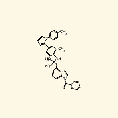 CCCC1(Cc2cccc3c2ccn3C(=O)c2ccccc2)Nc2cc(-c3nccn3-c3ccc(C)cc3)cc(C)c2N1